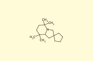 CC1(C)CCC(C)(C)N2CC3(CCCC3)CC21